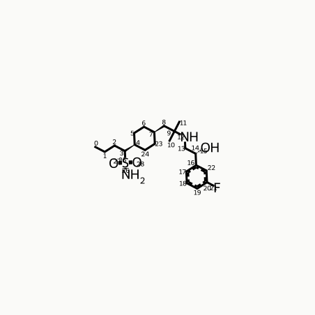 CCCC([C@H]1CC[C@@H](CC(C)(C)NC[C@H](O)c2cccc(F)c2)CC1)S(N)(=O)=O